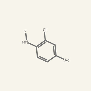 CC(=O)c1ccc(NF)c(Cl)c1